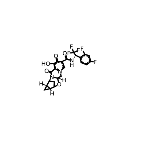 O=C(N[C@@H](c1ccc(F)cc1F)C(F)(F)F)c1cn2c(c(O)c1=O)C(=O)N1C3CC(O[C@H]1C2)[C@@H]1C[C@H]31